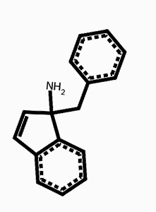 NC1(Cc2ccccc2)C=Cc2ccccc21